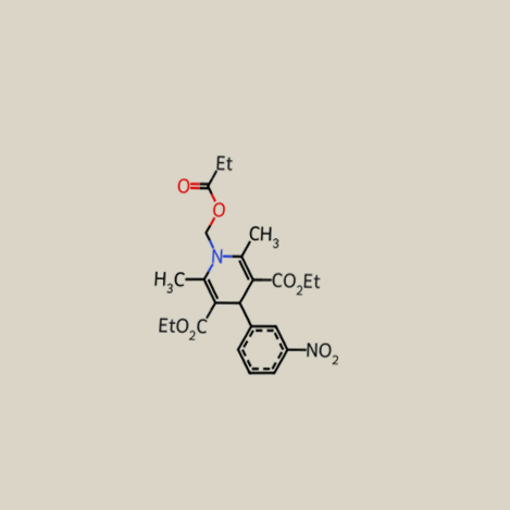 CCOC(=O)C1=C(C)N(COC(=O)CC)C(C)=C(C(=O)OCC)C1c1cccc([N+](=O)[O-])c1